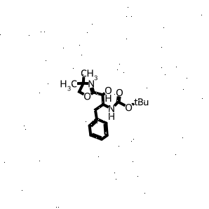 CC1(C)COC(C(O)C(Cc2ccccc2)NC(=O)OC(C)(C)C)=N1